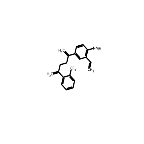 C=Cc1cc(C(=C)CCC(=C)c2ccccc2C(F)(F)F)ccc1NC